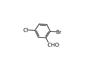 O=[C]c1cc(Cl)ccc1Br